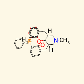 Cc1cccc2c1O[C@]13Oc4c(cccc4P(c4ccccc4)c4ccccc4)C[C@H]1CN(C)C[C@@H]3C2